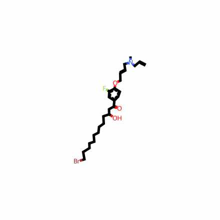 C=CCN(C)C/C=C/COc1ccc(C(=O)CC(O)CCCCCCCCCCBr)cc1F